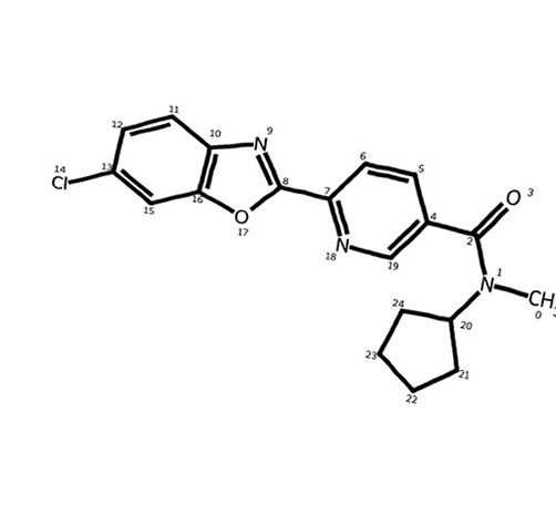 CN(C(=O)c1ccc(-c2nc3ccc(Cl)cc3o2)nc1)C1CCCC1